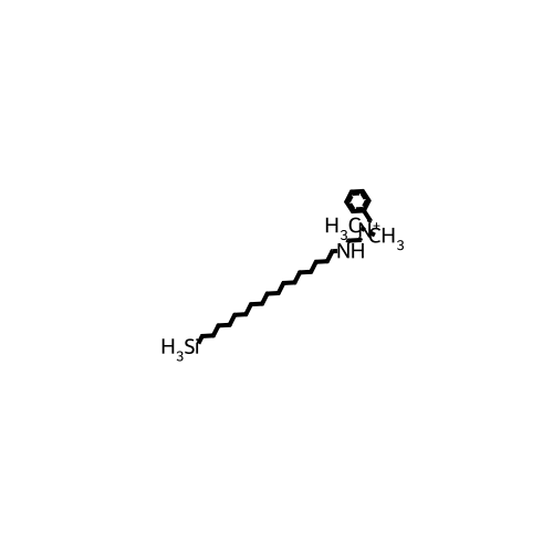 C[N+](C)(CCNCCCCCCCCCCCCCCCCC[SiH3])Cc1ccccc1